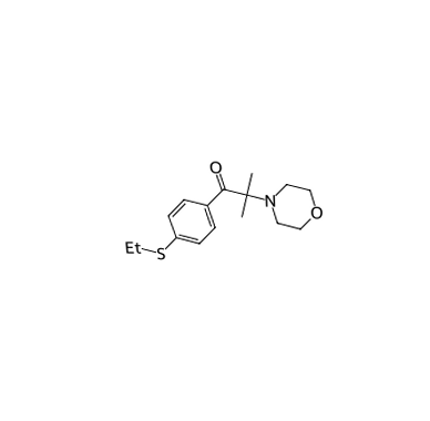 CCSc1ccc(C(=O)C(C)(C)N2CCOCC2)cc1